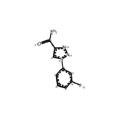 NC(=O)c1cn(-c2cccc(F)c2)nn1